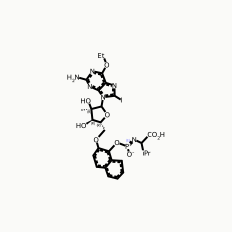 CCOc1nc(N)nc2c1nc(I)n2C1O[C@H](COc2ccc3ccccc3c2O/[P+]([O-])=N/C(C(=O)O)C(C)C)[C@@H](O)[C@@]1(C)O